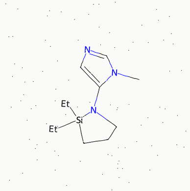 CC[Si]1(CC)CCCN1c1cncn1C